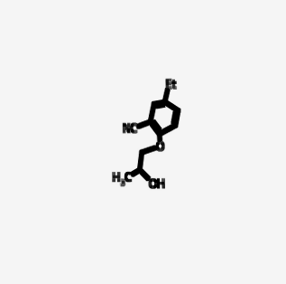 CCc1ccc(OCC(C)O)c(C#N)c1